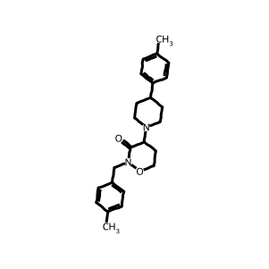 Cc1ccc(CN2OCCC(N3CCC(c4ccc(C)cc4)CC3)C2=O)cc1